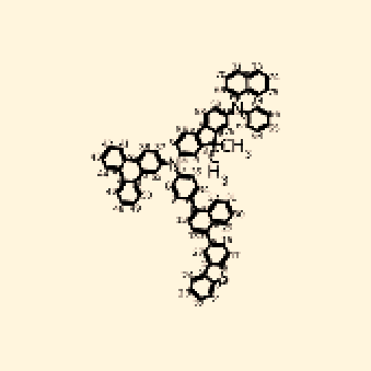 CC1(C)c2cc(N(c3ccc(-c4ccc(-c5ccc6sc7ccccc7c6c5)c5ccccc45)cc3)c3ccc4c5ccccc5c5ccccc5c4c3)ccc2-c2ccc(N(c3ccccc3)c3cccc4ccccc34)cc21